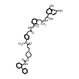 Cc1c(CNC(=O)Cc2ccc(N(C)C(=O)CCN3CCC(OC(=O)Nc4ccccc4-c4ccccc4)CC3)cc2)cccc1CC(C)NC[C@H](O)c1ccc(O)c2c1C=CC(O)N2